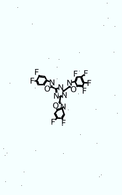 Fc1cc2nc(-c3nc(-c4nc5cc(F)c(F)cc5o4)nc(-c4nc5c(F)c(F)c(F)c(F)c5o4)n3)oc2cc1F